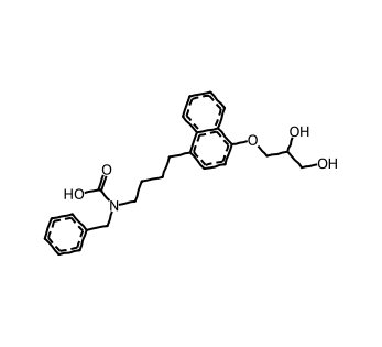 O=C(O)N(CCCCc1ccc(OCC(O)CO)c2ccccc12)Cc1ccccc1